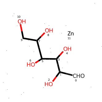 O=CC(O)C(O)C(O)C(O)CO.[Zn]